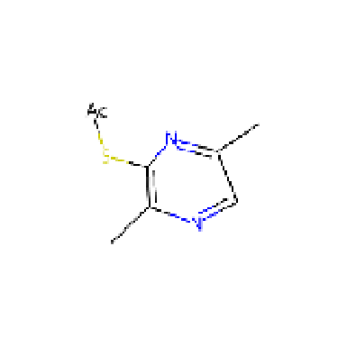 CC(=O)Sc1nc(C)cnc1C